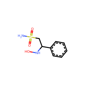 NS(=O)(=O)CC(NO)c1ccccc1